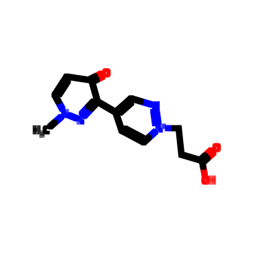 Cn1ccc(=O)c(-c2cc[n+](CCC(=O)O)nc2)n1